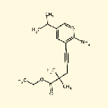 CCOC(=O)C(C)(C)CC#Cc1cc(C(C)C)cnc1N